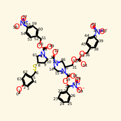 COc1ccc(CS[C@H]2C[C@@H](C(=O)N3CCN(C(=O)OC(c4ccccc4)[N+](=O)[O-])C(COC(=O)OCc4ccc([N+](=O)[O-])cc4)C3)N(C(=O)OCc3ccc([N+](=O)[O-])cc3)C2)cc1